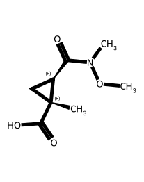 CON(C)C(=O)[C@@H]1C[C@@]1(C)C(=O)O